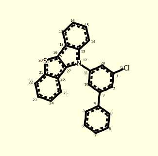 Clc1cc(-c2ccccc2)cc(-n2c3ccccc3c3sc4ccccc4c32)c1